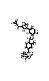 CS(=O)(=O)NC(=O)c1ccc(COc2cccc(-c3cc(CC4CC4)on3)c2)c(F)c1